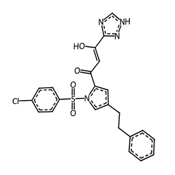 O=C(C=C(O)c1nc[nH]n1)c1cc(CCc2ccccc2)cn1S(=O)(=O)c1ccc(Cl)cc1